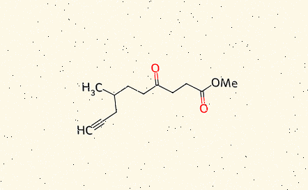 C#CCC(C)CCC(=O)CCC(=O)OC